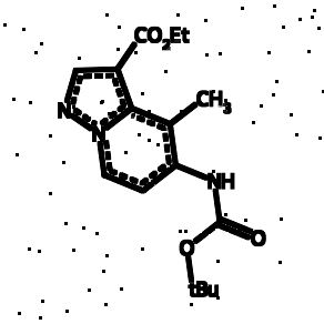 CCOC(=O)c1cnn2ccc(NC(=O)OC(C)(C)C)c(C)c12